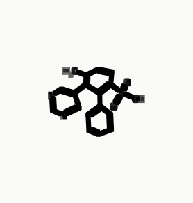 Cc1ccc(S(=O)(=O)O)c(-c2ccccc2)c1-c1cncnc1